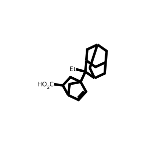 CCC1(C23C=CC(C2)C(C(=O)O)C3)C2CC3CC(C2)CC1C3